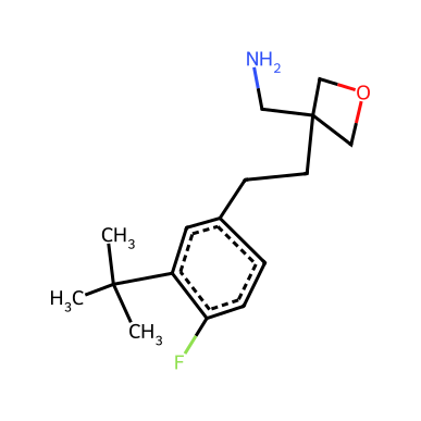 CC(C)(C)c1cc(CCC2(CN)COC2)ccc1F